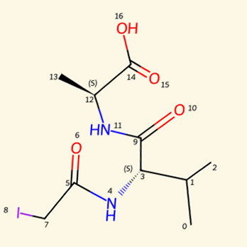 CC(C)[C@H](NC(=O)CI)C(=O)N[C@@H](C)C(=O)O